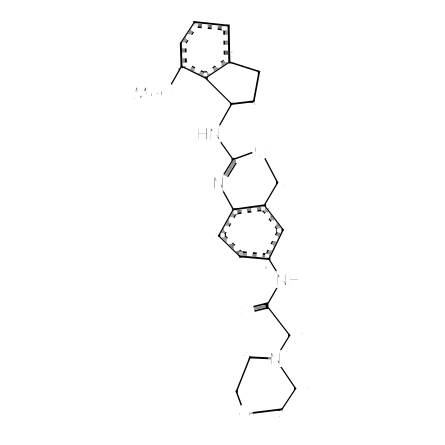 COc1cccc2c1C(NC1=Nc3ccc(NC(=O)CN4CCOCC4)cc3CO1)CC2